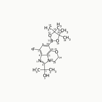 CC(C)(O)c1nc2c(F)cc(B3OC(C)(C)C(C)(C)O3)c3c2n1CCO3